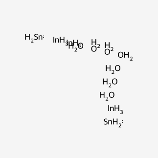 O.O.O.O.O.O.O.[InH3].[InH3].[InH3].[SnH2].[SnH2]